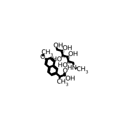 CNC[C@H](O)[C@@H](O)[C@H](O)[C@H](O)CO.COc1ccc2cc(C(C)C(=O)O)ccc2c1